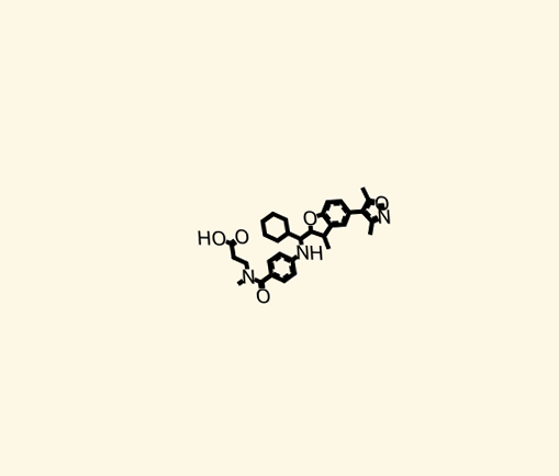 Cc1noc(C)c1-c1ccc2c(c1)C(C)C(C(Nc1ccc(C(=O)N(C)CCC(=O)O)cc1)C1CCCCC1)O2